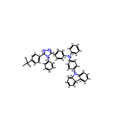 CC(C)(C)c1ccc(-c2nnc(-c3ccc(N(c4ccccc4)c4ccc(-n5c6ccccc6c6ccccc65)cc4)cc3)n2-c2ccccc2)cc1